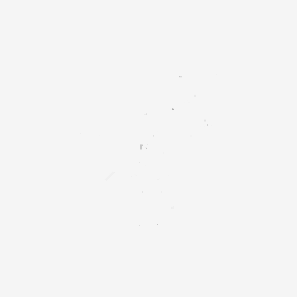 CCOC(=O)c1c(NS(=O)(=O)c2cccc(OC)c2)sc2c1CCCC2